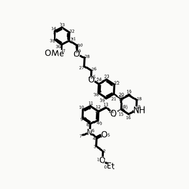 CCOCCC(=O)N(C)c1cccc(CO[C@H]2CNCC[C@@H]2c2ccc(OCCCOCc3ccccc3OC)cc2)c1